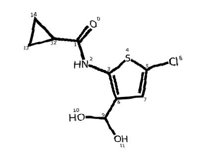 O=C(Nc1sc(Cl)cc1C(O)O)C1CC1